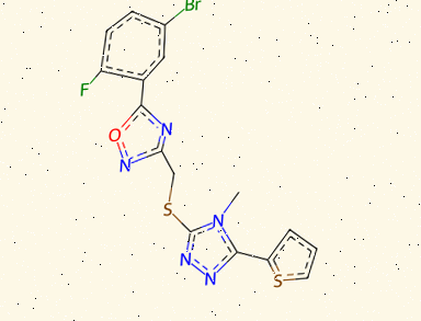 Cn1c(SCc2noc(-c3cc(Br)ccc3F)n2)nnc1-c1cccs1